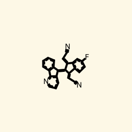 N#C/C=C1C(=C2/c3ccccc3-c3ncccc32)/C(=C/C#N)c2cc(F)ccc2/1